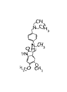 CCN(CC)Cc1ccc(NC(C)C=C2C(=O)Nc3cc(OC)c(OC)cc32)cc1